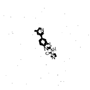 Cc1cncc(-c2ccc3nc(NC(=O)n4ccnc4)sc3c2)c1